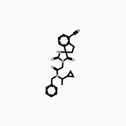 CC(C1CC1)N(Cc1ccccc1)C(=O)CN1C(=O)NC2(CCc3c(C#N)cccc32)C1=O